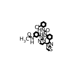 CC(=O)Nc1cccc(Nc2nccc(-c3c(-c4cccc(NC(=O)Nc5ccccc5Cl)c4)nc4sccn34)n2)c1